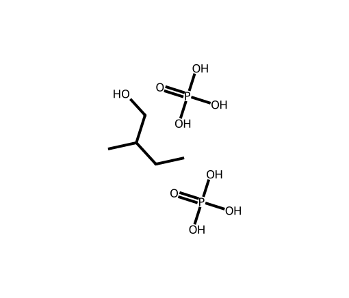 CCC(C)CO.O=P(O)(O)O.O=P(O)(O)O